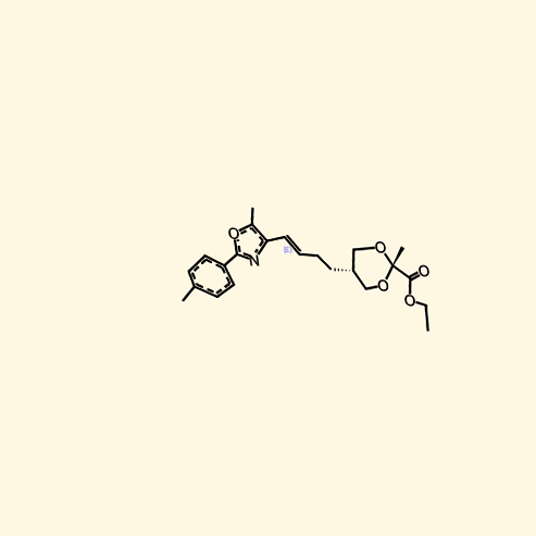 CCOC(=O)[C@]1(C)OC[C@H](CC/C=C/c2nc(-c3ccc(C)cc3)oc2C)CO1